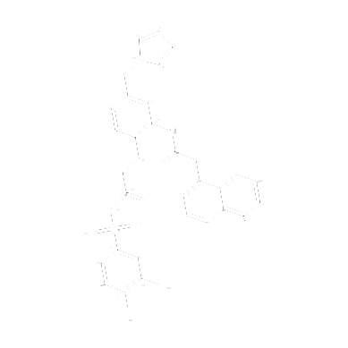 O=C(Cc1cccc2ccccc12)Nc1cc(Cn2cccn2)ccc1CCC(=O)NS(=O)(=O)c1ccc(F)c(F)c1